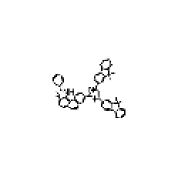 CC1(C)c2ccccc2-c2ccc(-c3cc(-c4ccc5c(c4)C(C)(C)c4ccccc4-5)nc(-c4ccc5c(ccc6ccc7c(c65)NC(C5C=CC=CC5)S7)c4)n3)cc21